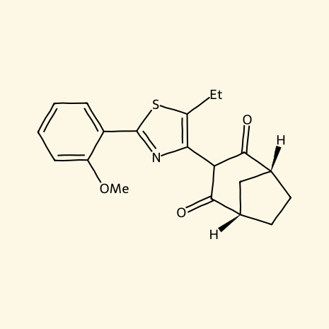 CCc1sc(-c2ccccc2OC)nc1C1C(=O)[C@@H]2CC[C@@H](C2)C1=O